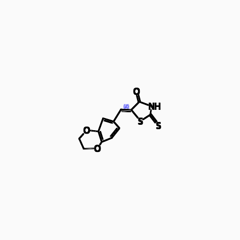 O=C1NC(=S)S/C1=C\c1ccc2c(c1)OCCO2